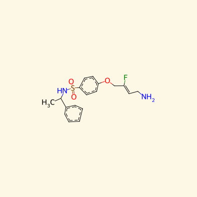 CC(NS(=O)(=O)c1ccc(OC/C(F)=C/CN)cc1)c1ccccc1